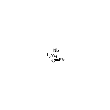 [MgH2].[Nb].[O]=[Pb]